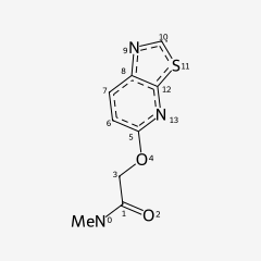 CNC(=O)COc1ccc2n[c]sc2n1